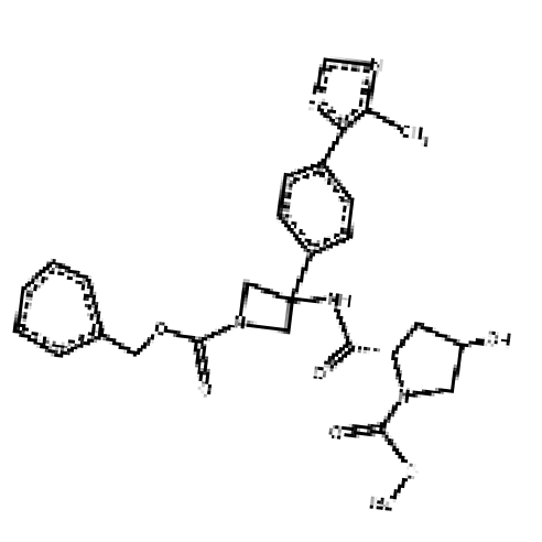 Cc1ncsc1-c1ccc(C2(NC(=O)[C@@H]3C[C@@H](O)CN3C(=O)OC(C)(C)C)CN(C(=O)OCc3ccccc3)C2)cc1